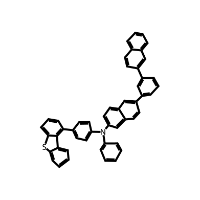 c1ccc(N(c2ccc(-c3cccc4sc5ccccc5c34)cc2)c2ccc3cc(-c4cccc(-c5ccc6ccccc6c5)c4)ccc3c2)cc1